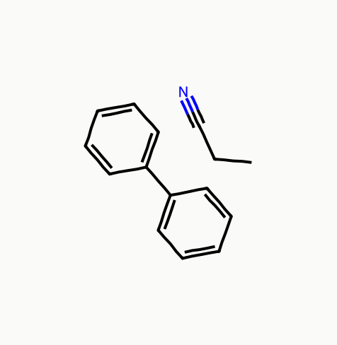 CCC#N.c1ccc(-c2ccccc2)cc1